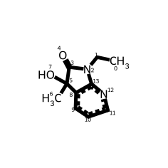 CCN1C(=O)C(C)(O)c2cccnc21